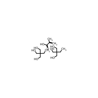 C=C(C)C(=O)O.CCC(CO)(CO)CO.CCC(CO)(CO)CO